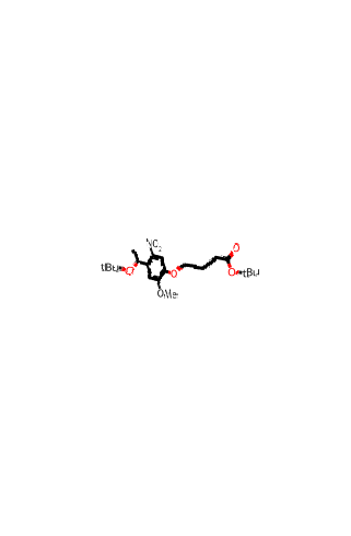 COc1cc(C(C)OC(C)(C)C)c([N+](=O)[O-])cc1OCCCC(=O)OC(C)(C)C